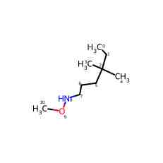 CCC(C)(C)CCCNOC